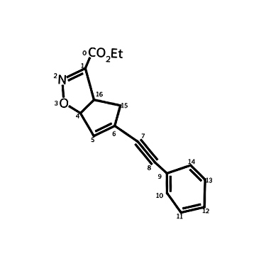 CCOC(=O)C1=NOC2C=C(C#Cc3ccccc3)CC12